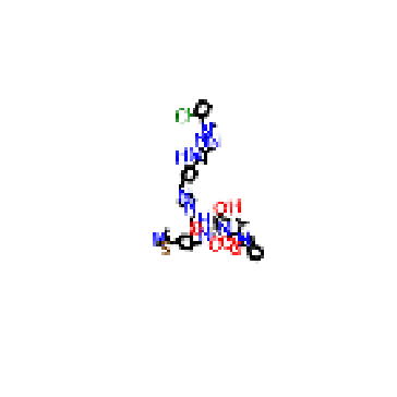 Cc1ncsc1-c1ccc(CNC(=O)[C@@H]2C[C@@H](O)CN2C(=O)C(C(C)C)N2Cc3ccccc3C2=O)c(OCCN2CCN(Cc3ccc(-c4cc5cnc(N(C)Cc6ccccc6Cl)nc5[nH]4)cc3)CC2)c1